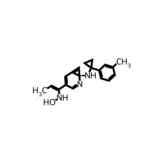 CC=C(NO)C1=CC2=C[C@]2(NC2(c3cccc(C)c3)CC2)N=C1